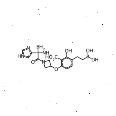 BC(N)(C(=O)N1CC(Oc2ccc(CCB(O)O)c(O)c2C(=O)O)C1)c1c[nH]cn1